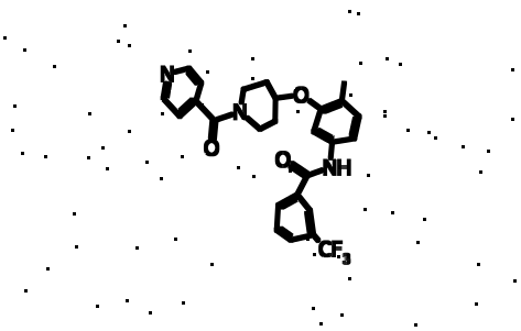 Cc1ccc(NC(=O)c2cccc(C(F)(F)F)c2)cc1OC1CCN(C(=O)c2ccncc2)CC1